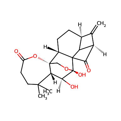 C=C1[C@H]2C(=O)C34C2[C@H]1CC[C@H]3[C@@]12CO[C@@]4(O)[C@@H](O)[C@@H]1C(C)(C)CCC(=O)O2